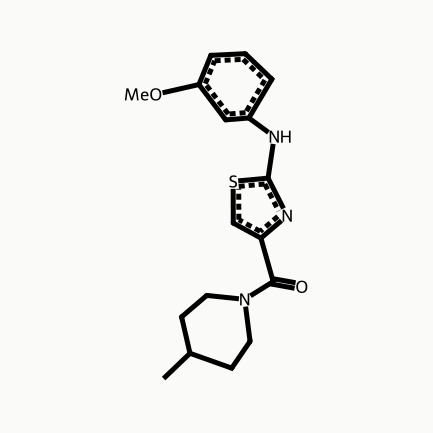 COc1cccc(Nc2nc(C(=O)N3CCC(C)CC3)cs2)c1